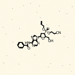 C=CCOP(=O)(OCCC#N)[C@H]1CC(n2cnc3c(NC(=O)c4ccccc4)ncnc32)OC1CO